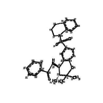 CC1(C)Oc2ccc(S(=O)(=O)N3CCCc4ccccc43)cc2[C@H](NC(=O)c2cccnc2)[C@H]1O